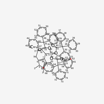 CC1=C(C)C(C)C2=C1[CH]([Ti]([O]C(=O)C(c1ccccc1)(c1ccccc1)c1ccccc1)([O]C(=O)C(c1ccccc1)(c1ccccc1)c1ccccc1)[O]C(=O)C(c1ccccc1)(c1ccccc1)c1ccccc1)CCC2